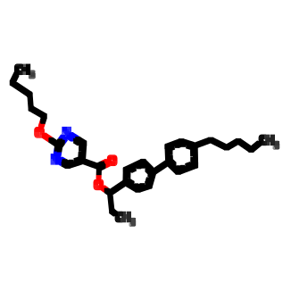 CCCCCOc1ncc(C(=O)OC(CC)c2ccc(-c3ccc(CCCCC)cc3)cc2)cn1